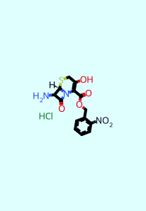 Cl.NC1C(=O)N2C(C(=O)OCc3ccccc3[N+](=O)[O-])=C(O)CS[C@H]12